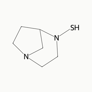 SN1CCN2CCC1C2